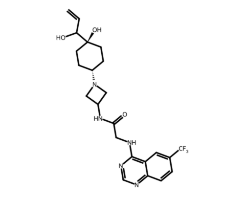 C=CC(O)[C@]1(O)CC[C@H](N2CC(NC(=O)CNc3ncnc4ccc(C(F)(F)F)cc34)C2)CC1